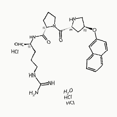 Cl.Cl.Cl.N=C(N)NCCC[C@@H](C=O)NC(=O)[C@@H]1CCCN1C(=O)[C@H]1C[C@H](Oc2ccc3ccccc3c2)CN1.O